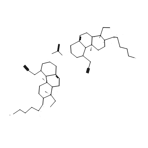 C#CCC1C[C@H](SC(=O)S[C@@H]2CC3=CC[C@H]4[C@@H]5CC[C@H]([C@H](C)CCCC(C)C)[C@@]5(C)CC[C@@H]4[C@@]3(C)C(CC#C)C2)CC2=CC[C@H]3[C@@H]4CC[C@H]([C@H](C)CCCC(C)C)[C@@]4(C)CC[C@@H]3[C@]21C